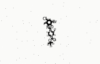 Cc1c(Cl)cc(Br)c2oc(N3CCN(C(=O)OC(C)(C)C)C[C@@H]3C)nc12